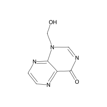 O=c1ncn(CO)c2nccnc12